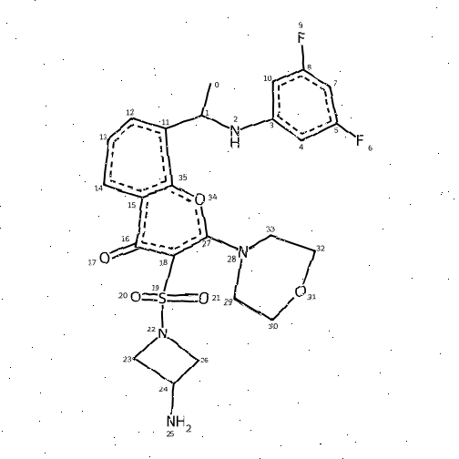 CC(Nc1cc(F)cc(F)c1)c1cccc2c(=O)c(S(=O)(=O)N3CC(N)C3)c(N3CCOCC3)oc12